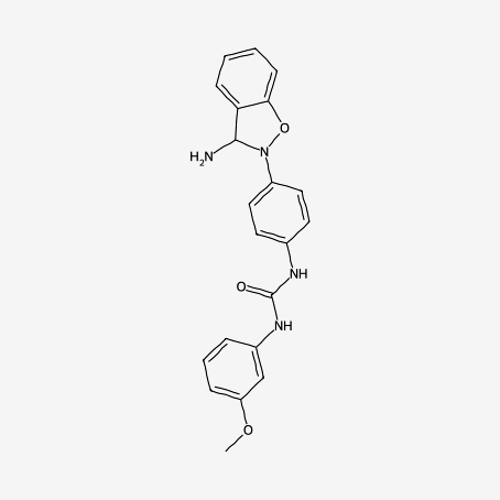 COc1cccc(NC(=O)Nc2ccc(N3Oc4ccccc4C3N)cc2)c1